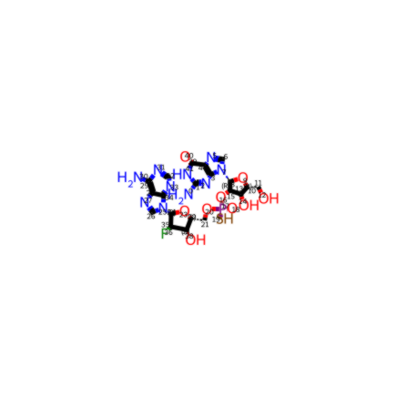 Nc1nc2c(ncn2[C@@H]2O[C@H](CO)C(O)C2OP(=O)(S)OC[C@H]2O[C@@H](n3cnc4c(N)ncnc43)C(F)[C@H]2O)c(=O)[nH]1